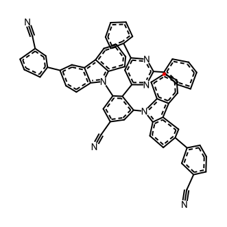 N#Cc1cccc(-c2ccc3c(c2)c2ccccc2n3-c2cc(C#N)cc(-n3c4ccccc4c4cc(-c5cccc(C#N)c5)ccc43)c2-c2cc(-c3ccccc3)nc(-c3ccccc3)n2)c1